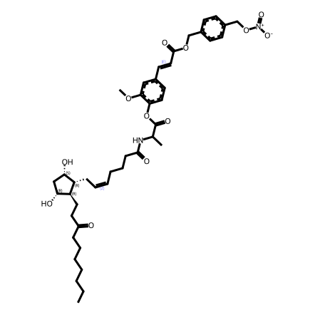 CCCCCCCC(=O)CC[C@@H]1[C@@H](C/C=C\CCCC(=O)NC(C)C(=O)Oc2ccc(/C=C/C(=O)OCc3ccc(CO[N+](=O)[O-])cc3)cc2OC)[C@@H](O)C[C@H]1O